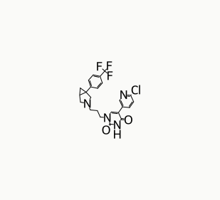 O=c1[nH]c(=O)n(CCCN2CC3CC3(c3ccc(C(F)(F)F)cc3)C2)cc1-c1ccc(Cl)nc1